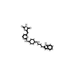 O=C1NC(=O)/C(=C/c2ccnc(NC3CCC(NCCCc4cc5ccccc5[nH]4)CC3)n2)S1